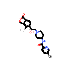 Cc1c([C@@H](O)CN2CCC(NC(=O)c3ccc(C#N)cn3)CC2)ccc2c1COC2=O